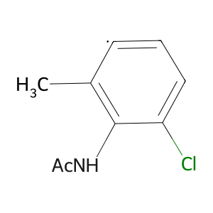 CC(=O)Nc1c(C)[c]ccc1Cl